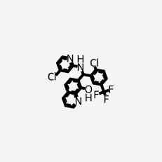 Oc1c(C(Nc2cc(Cl)ccn2)c2cc(C(F)(F)F)ccc2Cl)ccc2cccnc12